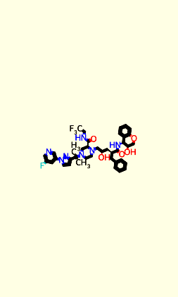 CC(C)(c1ccn(-c2cncc(F)c2)n1)N1CCN(C[C@@H](O)C[C@H](Cc2ccccc2)C(=O)N[C@H]2c3ccccc3OC[C@H]2O)[C@H](C(=O)NCC(F)(F)F)C1